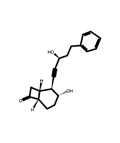 O=C1C[C@@H]2[C@@H](C#C[C@@H](O)CCc3ccccc3)[C@H](O)CC[C@H]12